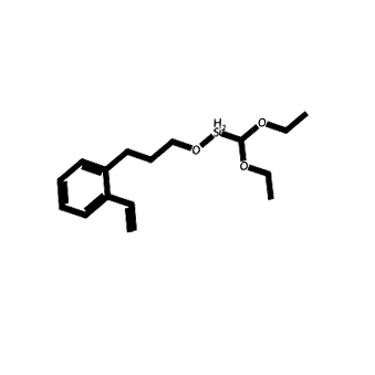 C=Cc1ccccc1CCCO[SiH2]C(OCC)OCC